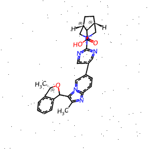 Cc1nc2ccc(-c3cnc(N4C[C@H]5CC[C@@H](C4)C5C(=O)O)nc3)cn2c1C1O[C@@H](C)c2ccccc21